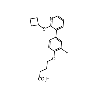 O=C(O)CCCOc1ccc(-c2cccnc2SC2CCC2)cc1F